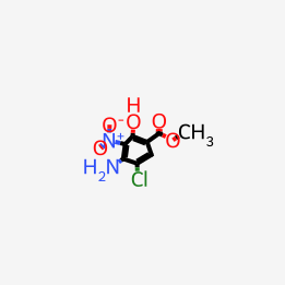 COC(=O)c1cc(Cl)c(N)c([N+](=O)[O-])c1O